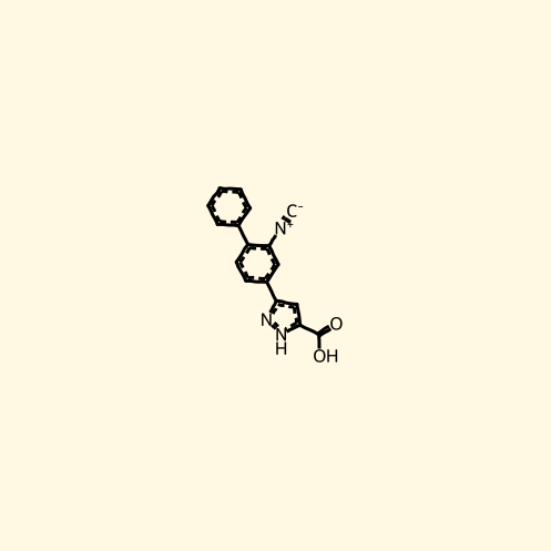 [C-]#[N+]c1cc(-c2cc(C(=O)O)[nH]n2)ccc1-c1ccccc1